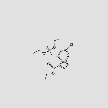 CCOC(=O)c1cnc2cc(Cl)cc(CP(=O)(OCC)OCC)n12